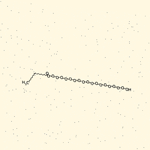 CCCCCCCC/C=C\CCCCCCCC(=O)OCCOCCOCCOCCOCCOCCOCCOCCOCCOCCOCCOCCOCCOCCOCCOCCOCCOCCO